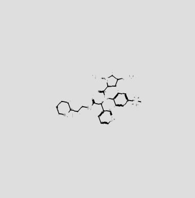 COC1CC(C(=O)N(c2ccc(S(F)(F)(F)(F)F)cc2)C(C(=O)NCCC2CCCCN2)c2cccnc2)N(C#N)C1